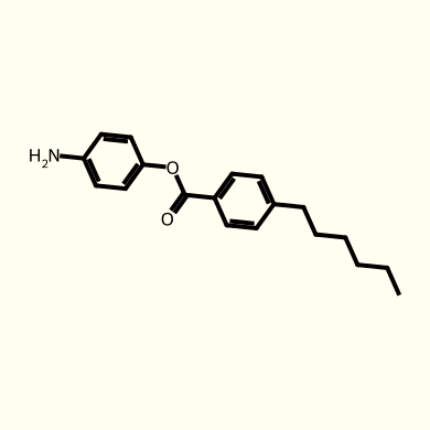 CCCCCCc1ccc(C(=O)Oc2ccc(N)cc2)cc1